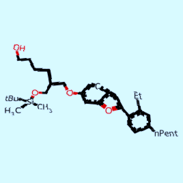 CCCCCc1ccc(-c2cc3ccc(OCC(CCCCO)CO[Si](C)(C)C(C)(C)C)cc3o2)c(CC)c1